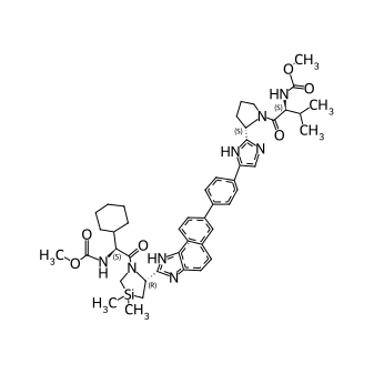 COC(=O)N[C@H](C(=O)N1CCC[C@H]1c1ncc(-c2ccc(-c3ccc4c(ccc5nc([C@@H]6C[Si](C)(C)CN6C(=O)[C@@H](NC(=O)OC)C6CCCCC6)[nH]c54)c3)cc2)[nH]1)C(C)C